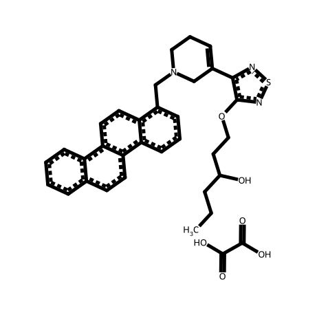 CCCC(O)CCOc1nsnc1C1=CCCN(Cc2cccc3c2ccc2c4ccccc4ccc32)C1.O=C(O)C(=O)O